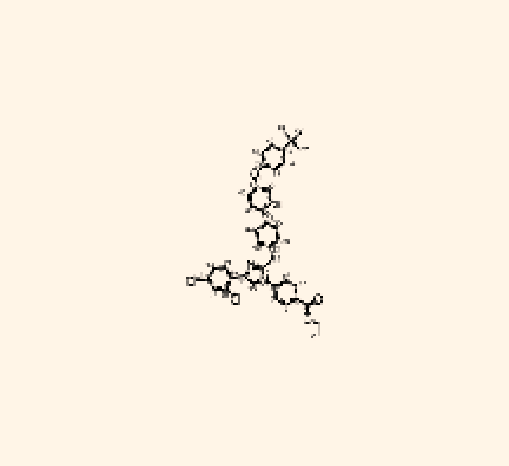 CCOC(=O)c1ccc(-n2cc(-c3ccc(Cl)cc3Cl)nc2Cc2ccc(-c3ccc(Oc4ccc(C(C)(C)C)cc4)cc3)cc2)cc1